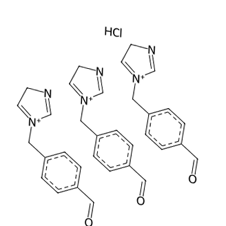 Cl.O=Cc1ccc(C[N+]2=CCN=C2)cc1.O=Cc1ccc(C[N+]2=CCN=C2)cc1.O=Cc1ccc(C[N+]2=CCN=C2)cc1